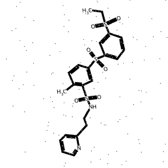 CCS(=O)(=O)c1cccc(S(=O)(=O)c2ccc(C)c(S(=O)(=O)NCCc3ccccn3)c2)c1